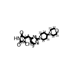 CN1C(=O)NC(=O)/C1=C/c1ccnc(N2CCC(N3CCOCC3)CC2)n1